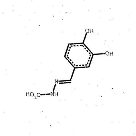 O=C(O)N/N=C/c1ccc(O)c(O)c1